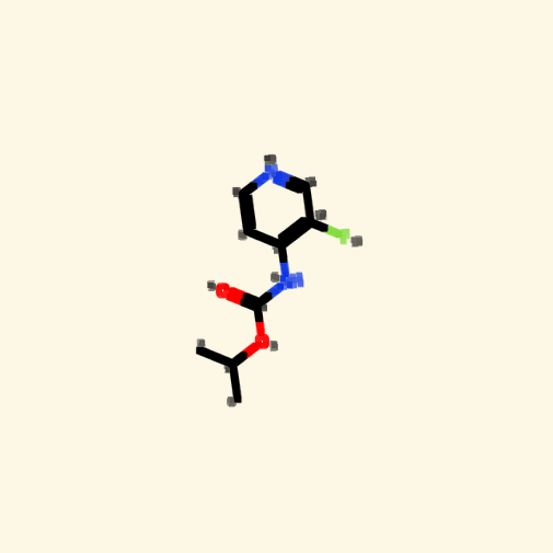 CC(C)OC(=O)Nc1ccncc1F